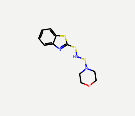 c1ccc2sc(SNSN3CCOCC3)nc2c1